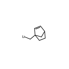 [Li][CH2]C12C=CC(CC1)C2